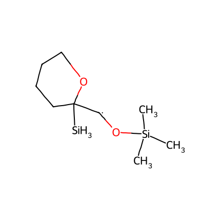 C[Si](C)(C)O[CH]C1([SiH3])CCCCO1